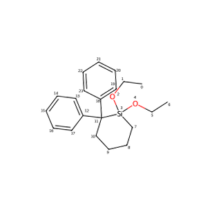 CCO[Si]1(OCC)CCCCC1(c1ccccc1)c1ccccc1